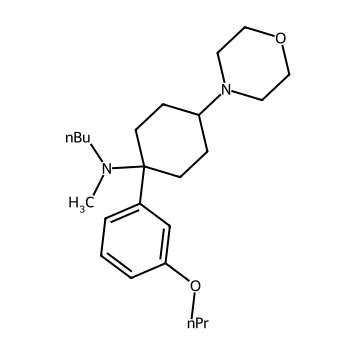 CCCCN(C)C1(c2cccc(OCCC)c2)CCC(N2CCOCC2)CC1